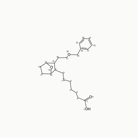 O=C(O)CCCCSCC1C2CCC(O2)C1CCOCc1ccccc1